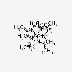 CC[N](C)[Nb]([N](C)CC)([N](C)CC)([N](C)CC)[N](C)CC